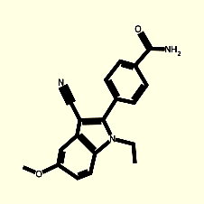 CCn1c(-c2ccc(C(N)=O)cc2)c(C#N)c2cc(OC)ccc21